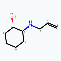 C=CCN[C@H]1CCCC[C@@H]1O